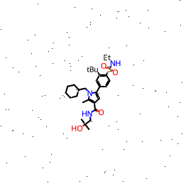 CCNS(=O)(=O)c1ccc(-c2cc(C(=O)NCC(C)(C)O)c(C)n2CC2CCCCC2)cc1C(C)(C)C